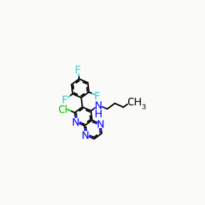 CCCCNc1c(-c2c(F)cc(F)cc2F)c(Cl)nc2nccnc12